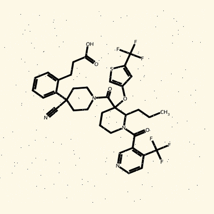 CCCC1N(C(=O)c2cnccc2C(F)(F)F)CCCC1(Oc1csc(C(F)(F)F)c1)C(=O)N1CCC(C#N)(c2ccccc2CCC(=O)O)CC1